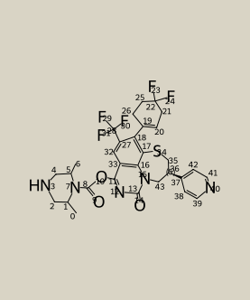 CC1CNCC(C)N1C(=O)Oc1nc(=O)n2c3c(c(C4=CCC(F)(F)CC4)c(C(F)(F)F)cc13)SC[C@@H](c1ccncc1)C2